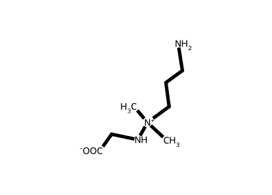 C[N+](C)(CCCN)NCC(=O)[O-]